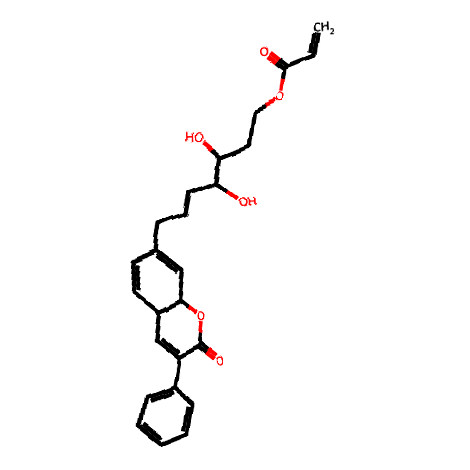 C=CC(=O)OCCC(O)C(O)CCCC1=CC2OC(=O)C(c3ccccc3)=CC2C=C1